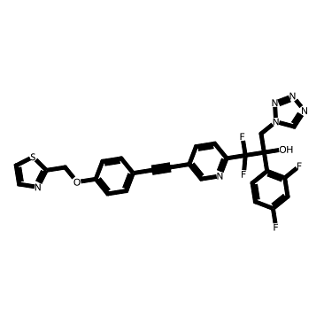 OC(Cn1cnnn1)(c1ccc(F)cc1F)C(F)(F)c1ccc(C#Cc2ccc(OCc3nccs3)cc2)cn1